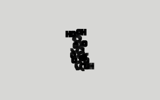 CC(=O)c1cc2c(=O)c3cc(O)c(O)cc3oc2c(C(C)=O)c1-c1coc2ccc(C)c(C(=O)O)c2c1=O